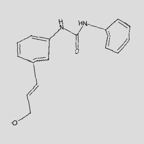 [O]C/C=C/c1cccc(NC(=O)Nc2ccccc2)c1